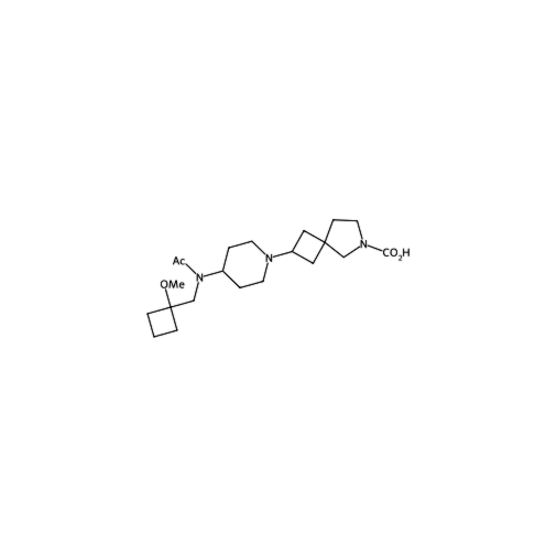 COC1(CN(C(C)=O)C2CCN(C3CC4(CCN(C(=O)O)C4)C3)CC2)CCC1